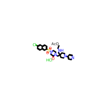 CC(=O)OCCNCC1(CN2CCN(S(=O)(=O)c3ccc4cc(Cl)ccc4c3)CC2=O)CCN(c2ccncc2)CC1.Cl